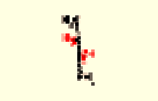 CCCCCCCCC(CCCCCCC(CCCCCCCC)C(=O)O)C(=O)O